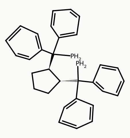 PC(c1ccccc1)(c1ccccc1)[C@@H]1CCC[C@H]1C(P)(c1ccccc1)c1ccccc1